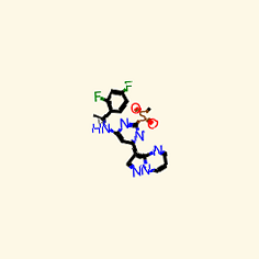 C[C@H](Nc1cc(-c2cnn3cccnc23)nc(S(C)(=O)=O)n1)c1ccc(F)cc1F